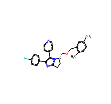 Cc1ccc(C)c(COC[C@@H]2CCc3nc(-c4ccc(F)cc4)c(-c4ccncc4)n32)c1